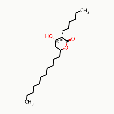 CCCCCCCCCCCC1C[C@H](O)[C@H](CCCCCC)C(=O)O1